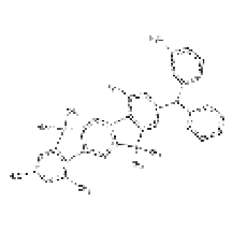 Cc1cccc(N(c2ccccc2)c2cc(C)c3c(c2)C(C)(C)c2cc4c(cc2-3)C(C)(C)c2cc(C)cc(C)c2-4)c1